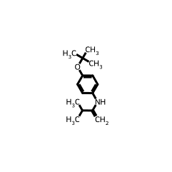 C=C(Nc1ccc(OC(C)(C)C)cc1)C(C)C